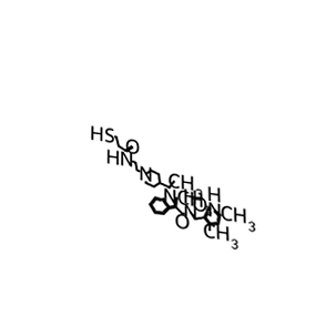 Cc1cc(C)c(CNC(=O)c2c(C)n(C(C)C3CCN(CCNC(=O)CCS)CC3)c3ccccc23)c(=O)[nH]1